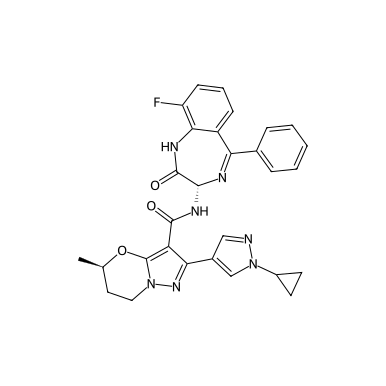 C[C@@H]1CCn2nc(-c3cnn(C4CC4)c3)c(C(=O)N[C@H]3N=C(c4ccccc4)c4cccc(F)c4NC3=O)c2O1